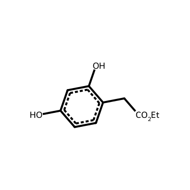 CCOC(=O)Cc1ccc(O)cc1O